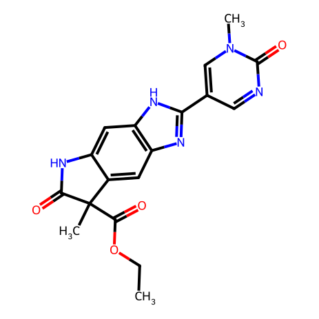 CCOC(=O)C1(C)C(=O)Nc2cc3[nH]c(-c4cnc(=O)n(C)c4)nc3cc21